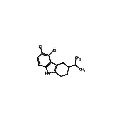 CC(C)C1CCc2[nH]c3ccc(Cl)c(Cl)c3c2C1